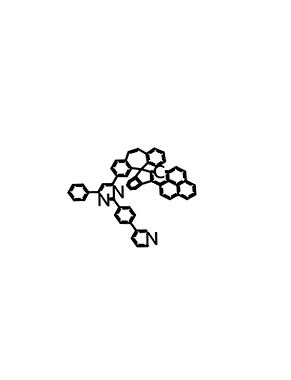 C1=Cc2ccc(-c3cc(-c4ccccc4)nc(-c4ccc(-c5cccnc5)cc4)n3)cc2C2(c3ccccc31)c1ccccc1-c1c2cc2ccc3cccc4ccc1c2c34